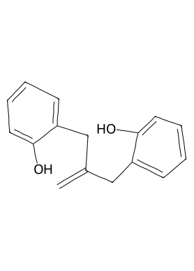 C=C(Cc1ccccc1O)Cc1ccccc1O